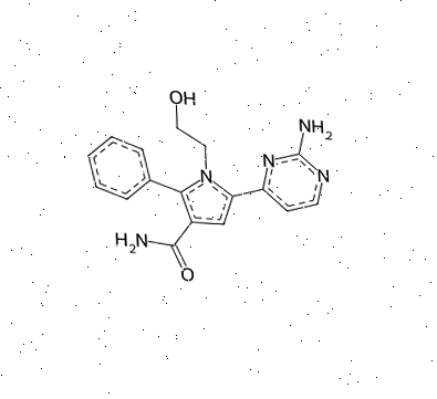 NC(=O)c1cc(-c2ccnc(N)n2)n(CCO)c1-c1ccccc1